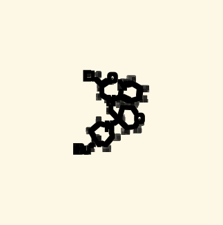 CCC(=O)CN(CC1(N2CCN(C(C)CC)CC2)CCOCC1)c1ccccn1